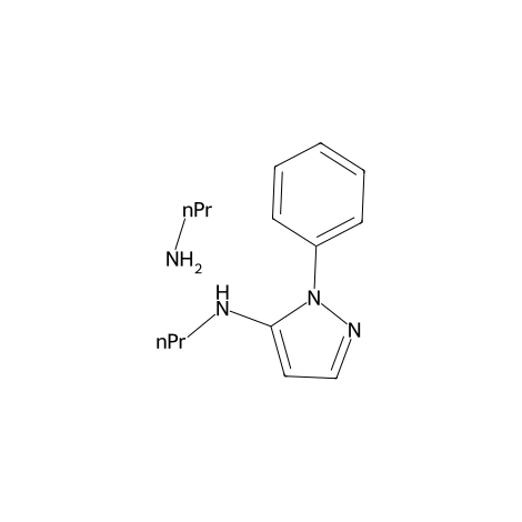 CCCN.CCCNc1ccnn1-c1ccccc1